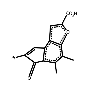 Cc1c2c(c3cc(C(=O)O)oc3c1C)C=C(C(C)C)C2=O